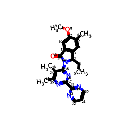 CCC1c2cc(C)c(OC)cc2C(=O)N1c1nc(-c2ncccn2)nc(C)c1C